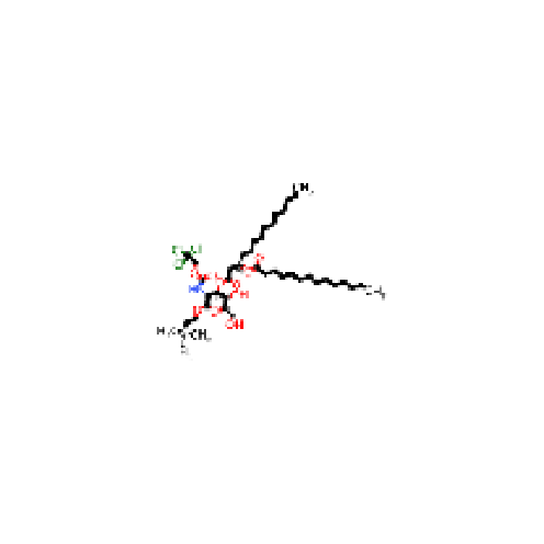 CCCCCCCCCCCCCC(=O)O[C@H](CCCCCCCCCCC)CC(=O)O[C@H]1[C@H](O)[C@@H](CO)O[C@@H](OCC[Si](C)(C)C)[C@@H]1NC(=O)OCC(Cl)(Cl)Cl